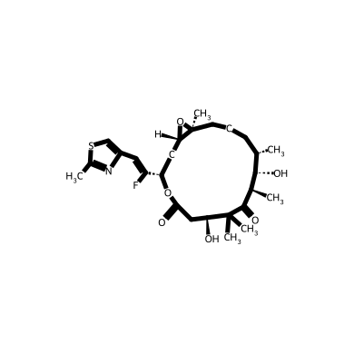 Cc1nc(C=C(F)[C@@H]2C[C@@H]3O[C@@]3(C)CCC[C@H](C)[C@H](O)[C@@H](C)C(=O)C(C)(C)[C@@H](O)CC(=O)O2)cs1